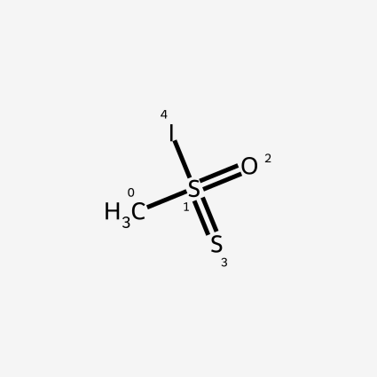 CS(=O)(=S)I